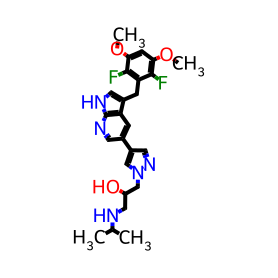 COc1cc(OC)c(F)c(Cc2c[nH]c3ncc(-c4cnn(CC(O)CNC(C)C)c4)cc23)c1F